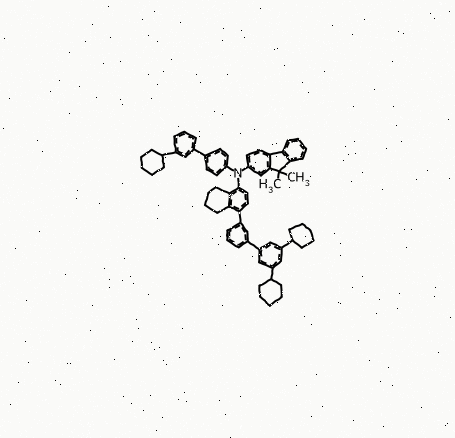 CC1(C)c2ccccc2-c2ccc(N(c3ccc(-c4cccc(C5CCCCC5)c4)cc3)c3ccc(-c4cccc(-c5cc(C6CCCCC6)cc(C6CCCCC6)c5)c4)c4c3CCCC4)cc21